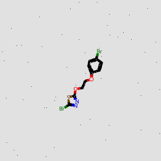 Brc1ccc(OCCOc2nnc(Br)s2)cc1